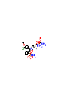 C.C=CC.CCOc1ccc(-c2ncoc2-c2ccccc2S(N)(=O)=O)cc1Cl.NC(O)=S.NC(O)=S.O